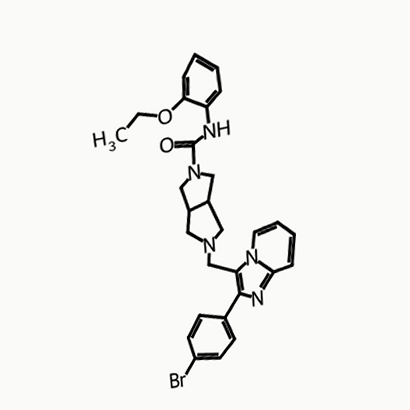 CCOc1ccccc1NC(=O)N1CC2CN(Cc3c(-c4ccc(Br)cc4)nc4ccccn34)CC2C1